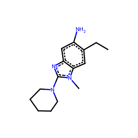 CCc1cc2c(cc1N)nc(N1CCCCC1)n2C